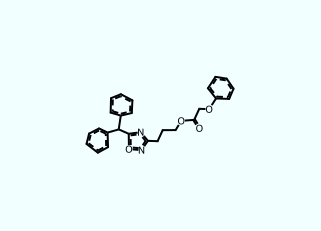 O=C(COc1ccccc1)OCCCc1noc(C(c2ccccc2)c2ccccc2)n1